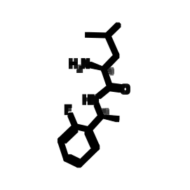 CC(C)C[C@H](N)C(=O)N[C@@H](C)c1ccccc1F